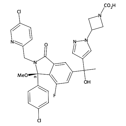 CO[C@]1(c2ccc(Cl)cc2)c2c(F)cc(C(C)(O)c3cnn(C4CN(C(=O)O)C4)c3)cc2C(=O)N1Cc1ccc(Cl)cn1